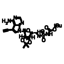 C#Cc1cn([C@@H]2O[C@H](CNS(=O)(=O)NC(=O)OC(C)(C)C)[C@H]3OC(C)(C)O[C@H]32)c2ncnc(N)c12